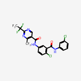 O=C(Nc1cccc(Cl)c1)c1cc(NC(=O)c2cnc(C(F)(F)C(F)(F)F)nc2C(F)(F)F)ccc1Cl